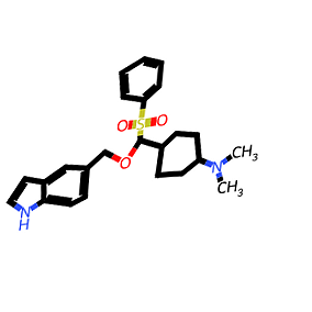 CN(C)C1CCC(C(OCc2ccc3[nH]ccc3c2)S(=O)(=O)c2ccccc2)CC1